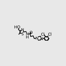 Cc1sc(CNC(=O)CCCN2CCN(c3cccc(Cl)c3Cl)CC2)nc1CO